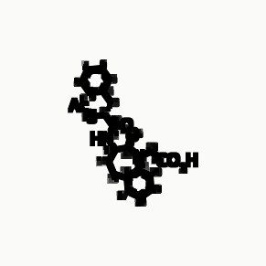 CC(=O)S[C@H](Cc1ccccc1)C(=O)NC1CCc2ccccc2N(CC(=O)O)C1=O